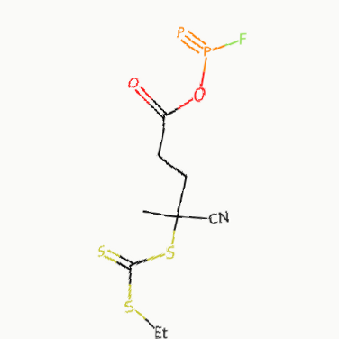 CCSC(=S)SC(C)(C#N)CCC(=O)OP(F)#P